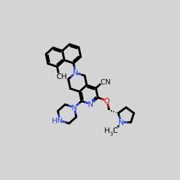 Cc1cccc2cccc(N3CCc4c(N5CCNCC5)nc(OC[C@@H]5CCCN5C)c(C#N)c4C3)c12